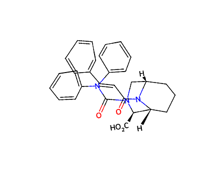 O=C(O)[C@@H]1[C@H]2CCC[C@@H](CN1C(=O)N(c1ccccc1)c1ccccc1)N2C(=O)/C=C/c1ccccc1